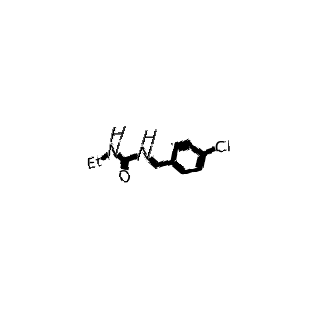 CCNC(=O)NCc1[c]cc(Cl)cc1